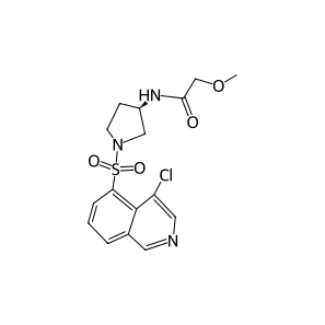 COCC(=O)N[C@@H]1CCN(S(=O)(=O)c2cccc3cncc(Cl)c23)C1